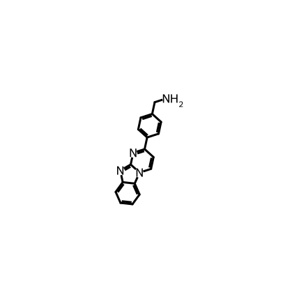 NCc1ccc(-c2ccn3c(n2)nc2ccccc23)cc1